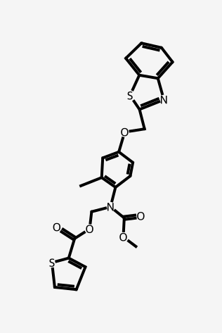 COC(=O)N(COC(=O)c1cccs1)c1ccc(OCc2nc3ccccc3s2)cc1C